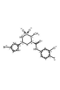 CN1[C@@H](C(=O)Nc2ccc(F)c(Cl)c2)C[C@@H](c2ncc(Br)s2)NS1(=O)=O